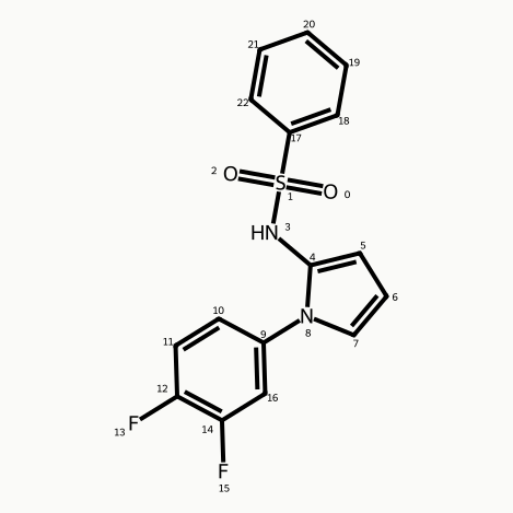 O=S(=O)(Nc1cccn1-c1ccc(F)c(F)c1)c1ccccc1